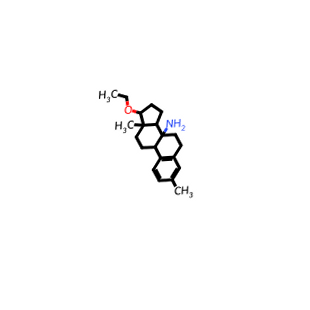 CCOC1CCC2C1(C)CCC1c3ccc(C)cc3CCC12N